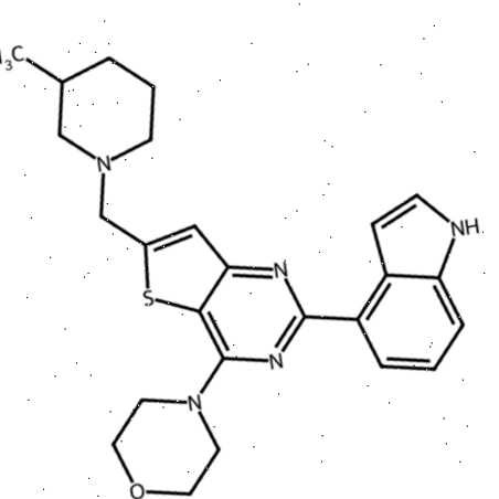 CC1CCCN(Cc2cc3nc(-c4cccc5[nH]ccc45)nc(N4CCOCC4)c3s2)C1